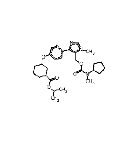 CC(C)OC(=O)[C@H]1CCC[C@H](Oc2ccc(-c3ncn(C)c3COC(=O)N(C)C3CCCC3)nc2)C1